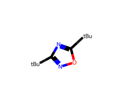 CC(C)(C)c1noc(C(C)(C)C)n1